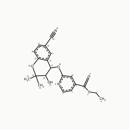 CCOC(=O)c1ccnc(OC2c3cc(C#N)ccc3OC(C)(C)C2O)c1